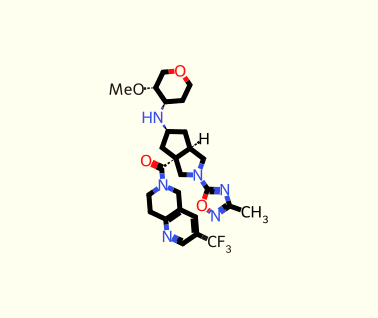 CO[C@@H]1COCC[C@@H]1N[C@@H]1C[C@H]2CN(c3nc(C)no3)C[C@@]2(C(=O)N2CCc3ncc(C(F)(F)F)cc3C2)C1